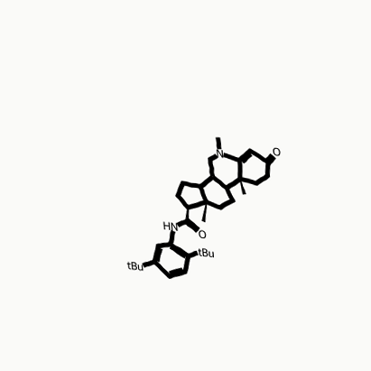 CN1CC2C(CC[C@@]3(C)C2CC[C@@H]3C(=O)Nc2cc(C(C)(C)C)ccc2C(C)(C)C)[C@@]2(C)CCC(=O)C=C12